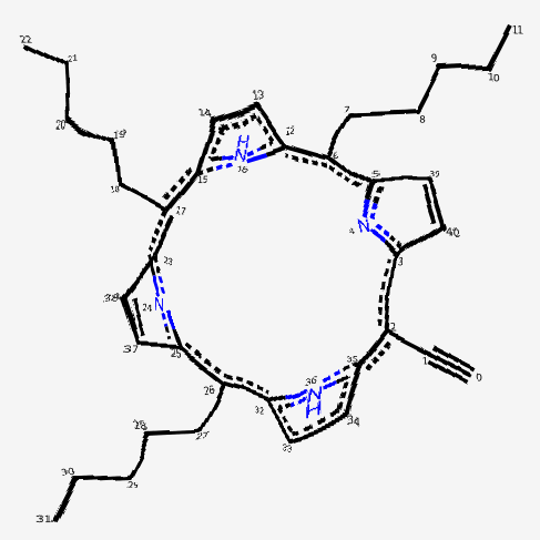 C#Cc1c2nc(c(CCCCC)c3ccc([nH]3)c(CCCCC)c3nc(c(CCCCC)c4ccc1[nH]4)C=C3)C=C2